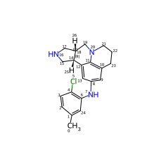 Cc1ccc(Cl)c(Nc2cc3c4c(c2)[C@@H]2CNC[C@@H]2CN4CCC3)c1